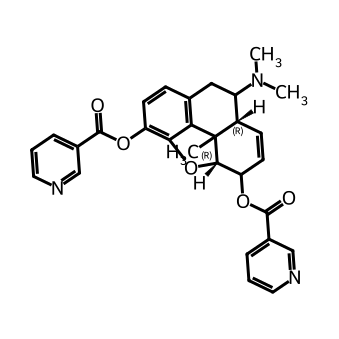 CN(C)C1Cc2ccc(OC(=O)c3cccnc3)c3c2C2(C)[C@H]1C=CC(OC(=O)c1cccnc1)[C@@H]2O3